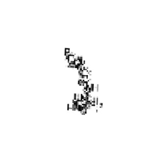 C[C@@H](CONC(=O)CC1CCN(c2ncc3cc(F)ccc3n2)CC1)Nc1cn[nH]c(=O)c1C(F)(F)F